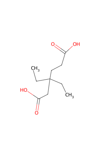 CCC(CC)(CCC(=O)O)CC(=O)O